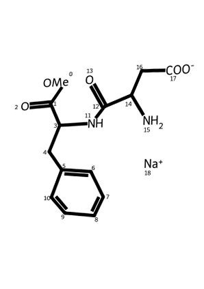 COC(=O)C(Cc1ccccc1)NC(=O)C(N)CC(=O)[O-].[Na+]